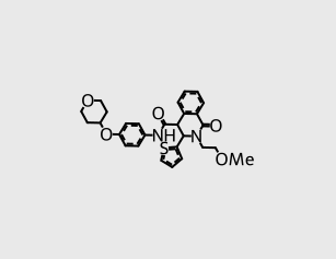 COCCN1C(=O)c2ccccc2C(C(=O)Nc2ccc(OC3CCOCC3)cc2)C1c1cccs1